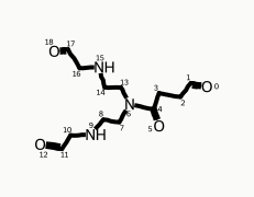 O=CCCC(=O)N(CCNCC=O)CCNCC=O